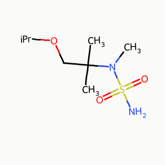 CC(C)OCC(C)(C)N(C)S(N)(=O)=O